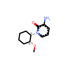 CO[C@@H]1CCCC[C@@H]1n1cccc(N)c1=O